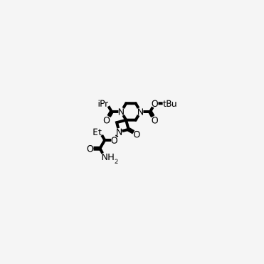 CCC(ON1CC2(CN(C(=O)OC(C)(C)C)CCN2C(=O)C(C)C)C1=O)C(N)=O